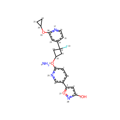 N.Oc1cc(-c2ccc(OC3CC(F)(c4ccnc(OC5CC5)c4)C3)nc2)on1